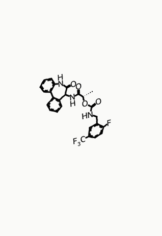 C[C@H](OC(=O)NCc1cc(C(F)(F)F)ccc1F)C(=O)NC1C(=O)Nc2ccccc2-c2ccccc21